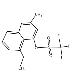 CCc1cccc2cc(C)cc(OS(=O)(=O)C(F)(F)F)c12